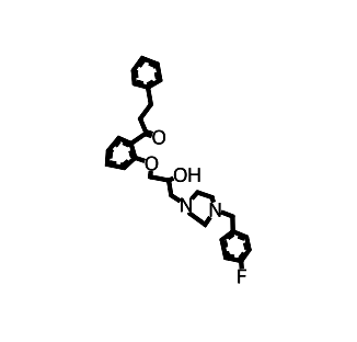 O=C(CCc1ccccc1)c1ccccc1OCC(O)CN1CCN(Cc2ccc(F)cc2)CC1